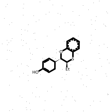 CC[C@@H]1Sc2ccccc2O[C@H]1C1C=CC(O)=CC1